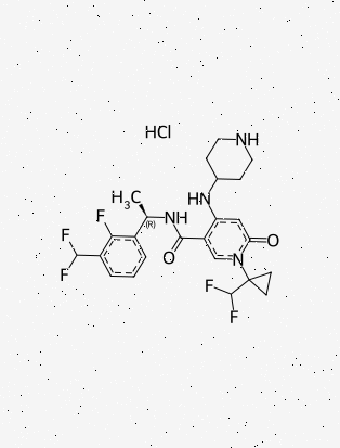 C[C@@H](NC(=O)c1cn(C2(C(F)F)CC2)c(=O)cc1NC1CCNCC1)c1cccc(C(F)F)c1F.Cl